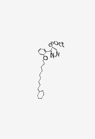 CCCCCCCCOc1cncnc1-c1ccccc1OCCCCCCCCCC1CCCCC1